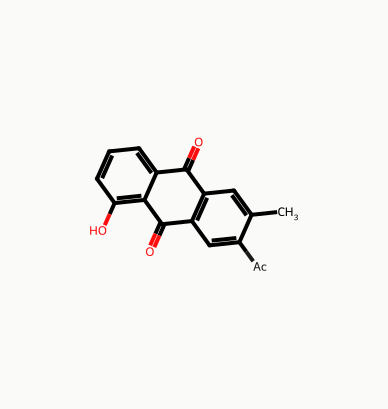 CC(=O)c1cc2c(cc1C)C(=O)c1cccc(O)c1C2=O